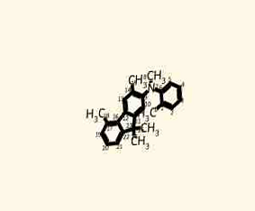 Cc1ccccc1N(C)c1cc2c(cc1C)-c1c(C)cccc1C2(C)C